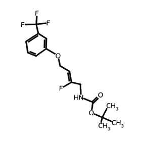 CC(C)(C)OC(=O)NCC(F)=CCOc1cccc(C(F)(F)F)c1